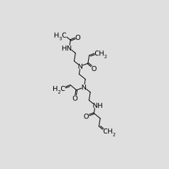 C=CCC(=O)NCCN(CCN(CCNC(C)=O)C(=O)C=C)C(=O)C=C